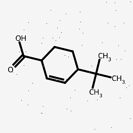 CC(C)(C)C1C=CC(C(=O)O)CC1